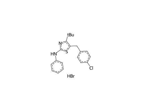 Br.CC(C)(C)c1nc(Nc2ccccc2)sc1Cc1ccc(Cl)cc1